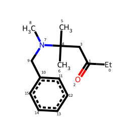 CCC(=O)CC(C)(C)N(C)Cc1ccccc1